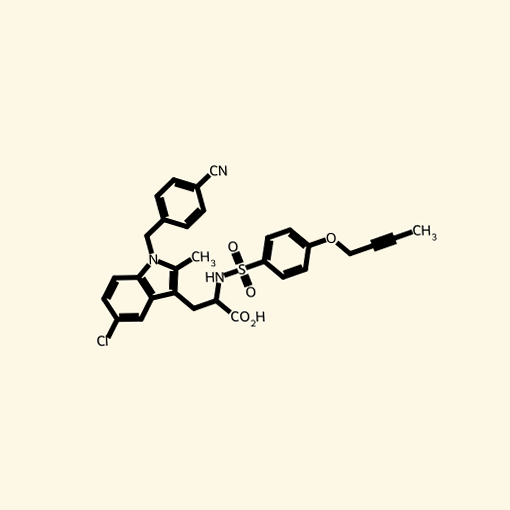 CC#CCOc1ccc(S(=O)(=O)NC(Cc2c(C)n(Cc3ccc(C#N)cc3)c3ccc(Cl)cc23)C(=O)O)cc1